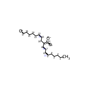 CCCCC/C=C\C=C\C(C/C=C\CCCC[C]=O)[N+](=O)[O-]